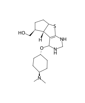 CN(C)[C@H]1CC[C@H](OC2NCNC3=C2[C@H]2C(CC[C@@H]2CO)S3)CC1